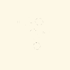 C[C@H]1C(C(=O)NC[C@H](Cc2ccc(O)cc2Cl)N(C)C)[C@]1(C)c1ccccc1